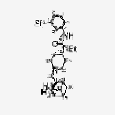 CCc1cccc(NC(=O)N(CC)C2CCN(CC3=CCC4CC3C4(C)C)CC2)c1